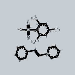 C(=C[n+]1ccccc1)c1ccccc1.Cc1cc(C)c(S(=O)(=O)[O-])c(C)c1